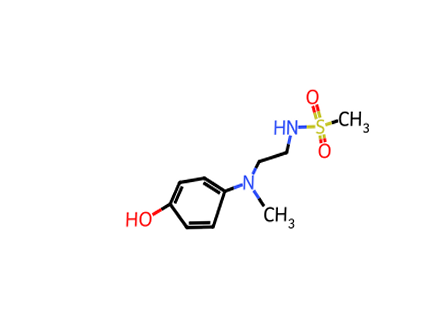 CN(CCNS(C)(=O)=O)c1ccc(O)cc1